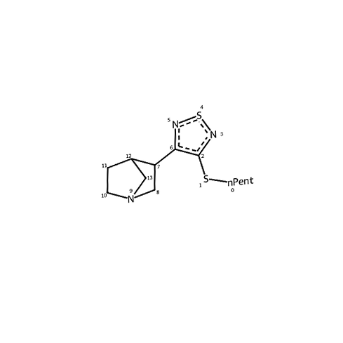 CCCCCSc1nsnc1C1CN2CCC1C2